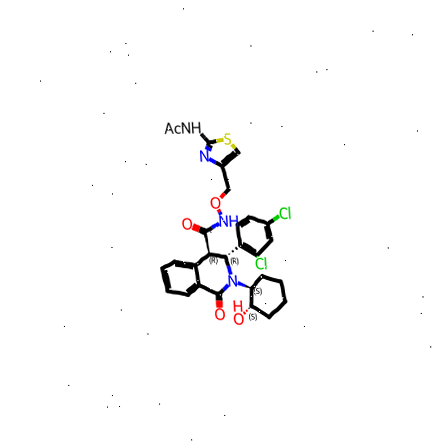 CC(=O)Nc1nc(CONC(=O)[C@@H]2c3ccccc3C(=O)N([C@H]3CCCC[C@@H]3O)[C@H]2c2ccc(Cl)cc2Cl)cs1